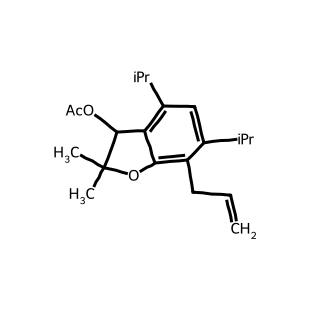 C=CCc1c(C(C)C)cc(C(C)C)c2c1OC(C)(C)C2OC(C)=O